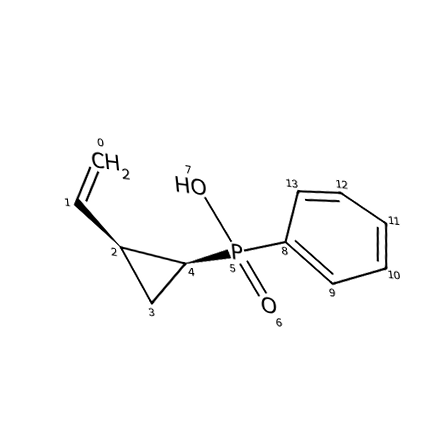 C=C[C@@H]1C[C@@H]1P(=O)(O)c1ccccc1